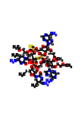 CC[C@H]1O[C@H](n2cc(C)c(N)nc2=O)[C@@H](OCCOC)C1OP(=O)(O)OC[C@H]1O[C@@H](n2cc(C)c(N)nc2=O)[C@@H](OCCOC)C1OP(=O)(S)OC[C@H]1O[C@@H](n2cnc3c(N)ncnc32)[C@@H](OCCOC)C1OP(=O)(S)OC[C@H]1O[C@@H](n2cnc3c(N)ncnc32)[C@@H](OCCOC)C1O